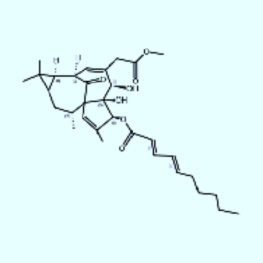 CCCCC/C=C/C=C/C(=O)O[C@H]1C(C)=CC23C(=O)[C@H](C=C(CC(=O)OC)[C@@H](O)[C@]12O)[C@H]1C(C[C@H]3C)C1(C)C